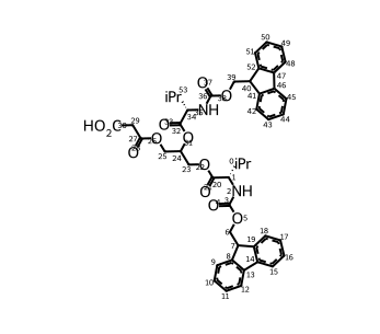 CC(C)[C@H](NC(=O)OCC1c2ccccc2-c2ccccc21)C(=O)OCC(COC(=O)CC(=O)O)OC(=O)[C@@H](NC(=O)OCC1c2ccccc2-c2ccccc21)C(C)C